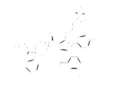 CS(=O)(=O)NCCCc1c(C(=O)N2CCC(C(N)=O)(c3ccccc3)CC2)cc(-c2ccc(Cl)cc2Cl)n1-c1ccc(Cl)cc1